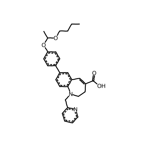 CCCCOC(C)Oc1ccc(-c2ccc3c(c2)C=C(C(=O)O)CCN3Cc2ccccn2)cc1